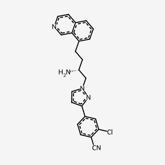 N#Cc1ccc(-c2ccn(C[C@H](N)CCc3cccc4ccncc34)n2)cc1Cl